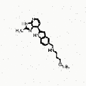 CCCCOCCCNCc1ccc2[nH]c(-c3ccnc4[nH]c(C)nc34)cc2c1